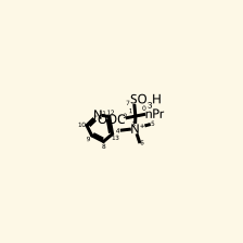 CCCC(C(=O)[O-])([N+](C)(C)C)S(=O)(=O)O.c1ccncc1